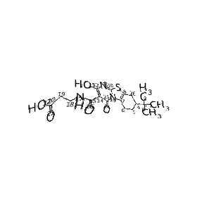 CC(C)(C)C1CCc2c(sc3nc(O)c(C(=O)NCCC(=O)O)c(=O)n23)C1